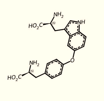 N[C@@H](Cc1ccc(Oc2ccc3[nH]cc(C[C@H](N)C(=O)O)c3c2)cc1)C(=O)O